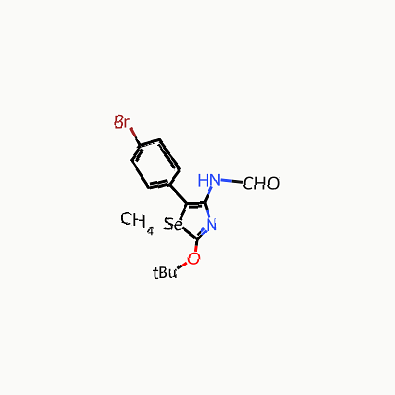 C.CC(C)(C)Oc1nc(NC=O)c(-c2ccc(Br)cc2)[se]1